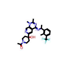 CC(=O)N1CCC(O)(c2cc3/c(=N/C(C)c4cccc(C(F)(F)F)c4C)nc(C)n(C)c3cn2)CC1